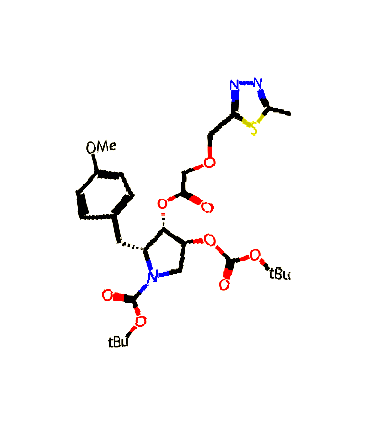 COc1ccc(C[C@@H]2[C@H](OC(=O)COCc3nnc(C)s3)[C@@H](OC(=O)OC(C)(C)C)CN2C(=O)OC(C)(C)C)cc1